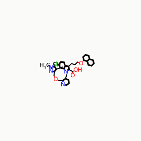 Cc1c2c(nn1C)COCc1ncccc1Cn1c(C(=O)O)c(CCCOc3cccc4ccccc34)c3ccc(Cl)c-2c31